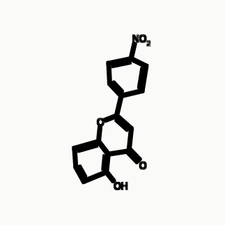 O=c1cc(-c2ccc([N+](=O)[O-])cc2)oc2cccc(O)c12